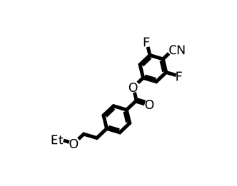 CCOCCc1ccc(C(=O)Oc2cc(F)c(C#N)c(F)c2)cc1